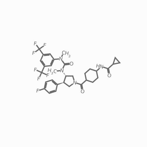 CN(C(=O)N(C)[C@@H]1CN(C(=O)C2CCC(NC(=O)C3CC3)CC2)C[C@H]1c1ccc(F)cc1)c1cc(C(F)(F)F)cc(C(F)(F)F)c1